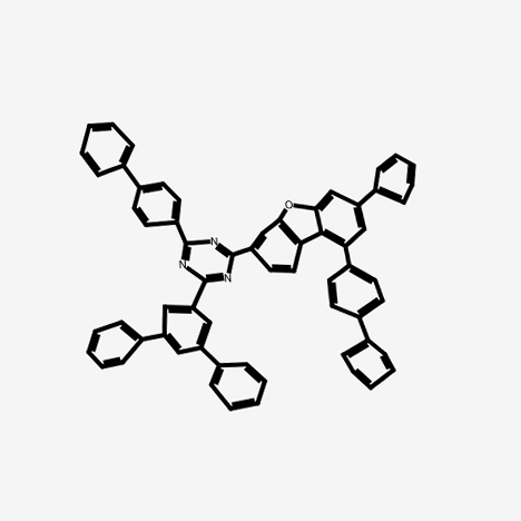 c1ccc(-c2ccc(-c3nc(-c4cc(-c5ccccc5)cc(-c5ccccc5)c4)nc(-c4ccc5c(c4)oc4cc(-c6ccccc6)cc(-c6ccc(-c7ccccc7)cc6)c45)n3)cc2)cc1